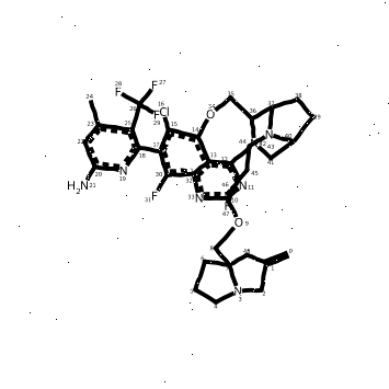 C=C1CN2CCCC2(COc2nc3c4c(c(Cl)c(-c5nc(N)cc(C)c5C(F)(F)F)c(F)c4n2)OCC2C4CCC(CN32)N4CCCF)C1